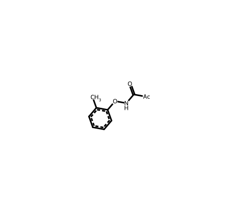 CC(=O)C(=O)NOc1ccccc1C